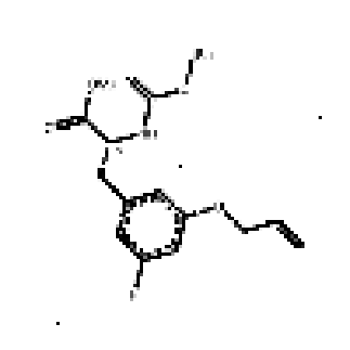 C=CCOc1cc(F)cc(C[C@H](NC(=O)OC(C)(C)C)C(=O)OC)c1